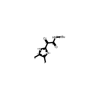 Cc1nc(C(=O)C(=O)NC(C)(C)C)sc1C